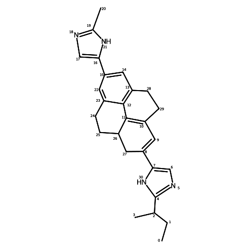 CCC(C)c1ncc(C2=CC3=C4c5c(cc(-c6cnc(C)[nH]6)cc5CCC4C2)CC3)[nH]1